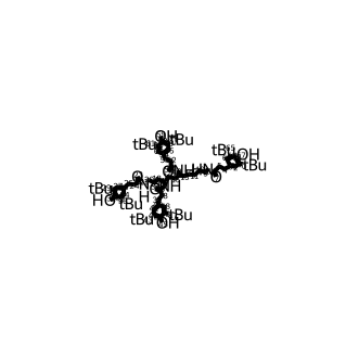 CC(C)(C)c1cc(CCC(=O)NCCCCCC(CCC(CCCNC(=O)CCc2cc(C(C)(C)C)c(O)c(C(C)(C)C)c2)NC(=O)CCc2cc(C(C)(C)C)c(O)c(C(C)(C)C)c2)NC(=O)CCc2cc(C(C)(C)C)c(O)c(C(C)(C)C)c2)cc(C(C)(C)C)c1O